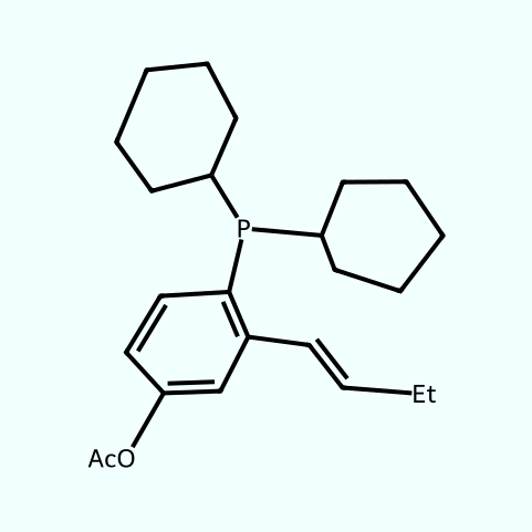 CCC=Cc1cc(OC(C)=O)ccc1P(C1CCCCC1)C1CCCCC1